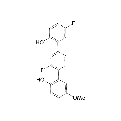 COc1ccc(O)c(-c2ccc(-c3cc(F)ccc3O)cc2F)c1